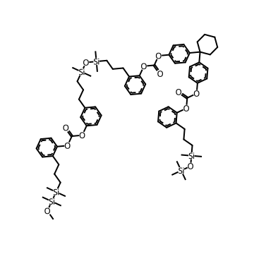 CO[Si](C)(C)[Si](C)(C)CCCc1ccccc1OC(=O)Oc1cccc(CCC[Si](C)(C)O[Si](C)(C)CCCc2ccccc2OC(=O)Oc2ccc(C3(c4ccc(OC(=O)Oc5ccccc5CCC[Si](C)(C)O[Si](C)(C)C)cc4)CCCCC3)cc2)c1